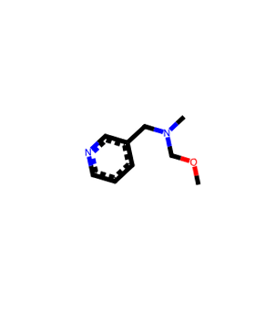 COCN(C)Cc1cccnc1